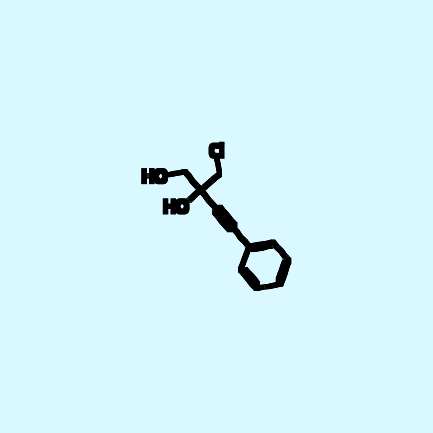 OCC(O)(C#Cc1ccccc1)CCl